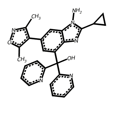 Cc1noc(C)c1-c1cc(C(O)(c2ccccn2)c2ccccn2)c2nc(C3CC3)n(N)c2c1